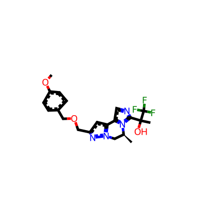 COc1ccc(COCc2cc3n(n2)C[C@H](C)n2c-3cnc2C(C)(O)C(F)(F)F)cc1